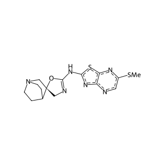 CSc1cnc2nc(NC3=NC[C@@]4(CN5CCC4CC5)O3)sc2n1